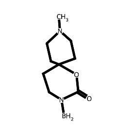 BN1CCC2(CCN(C)CC2)OC1=O